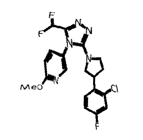 COc1ccc(-n2c(C(F)F)nnc2N2CCC(c3ccc(F)cc3Cl)C2)cn1